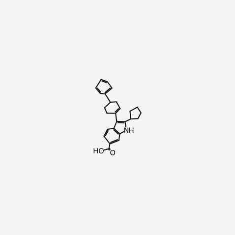 O=C(O)c1ccc2c(C3=CCC(c4ccccc4)CC3)c(C3CCCC3)[nH]c2c1